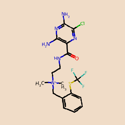 C[N+](C)(CCNC(=O)c1nc(Cl)c(N)nc1N)Cc1ccccc1SC(F)(F)F